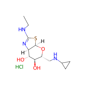 CCNC1=N[C@@H]2[C@@H](O)[C@H](O)[C@@H](CNC3CC3)O[C@@H]2S1.Cl